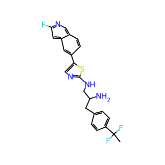 CC(F)(F)c1ccc(CC(N)CNc2ncc(-c3ccc4cnc(F)cc4c3)s2)cc1